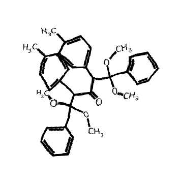 COC(OC)(c1ccccc1)C(C(=O)C(c1ccc(C)cc1)C(OC)(OC)c1ccccc1)c1ccc(C)cc1